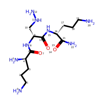 NCCC[C@@H](N)C(=O)N[C@H](CNN)C(=O)N[C@H](CCCN)C(N)=O